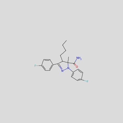 CCCCC1C(c2ccc(F)cc2)=NN(c2ccc(F)cc2)C1(C)C(N)=O